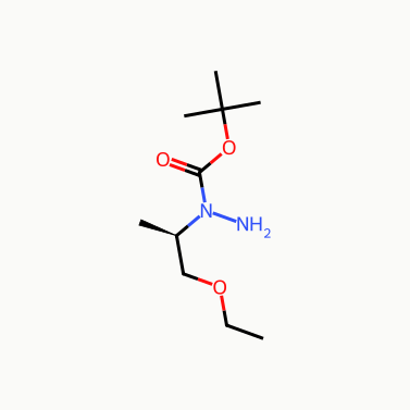 CCOC[C@@H](C)N(N)C(=O)OC(C)(C)C